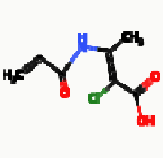 C=CC(=O)NC(C)=C(Cl)C(=O)O